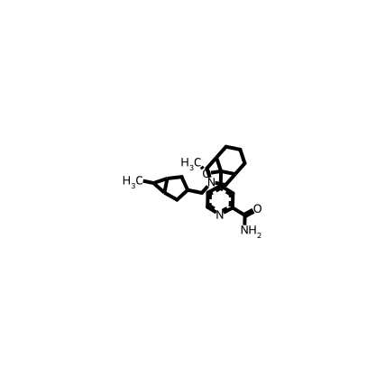 COC1(c2ccnc(C(N)=O)c2)C2CCCC1CN(CC1CC3C(C)C3C1)C2